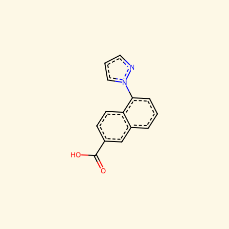 O=C(O)c1ccc2c(-n3cccn3)cccc2c1